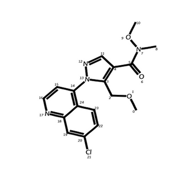 COCc1c(C(=O)N(C)OC)cnn1-c1ccnc2cc(Cl)ccc12